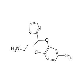 NCCCC(Oc1cc(C(F)(F)F)ccc1Cl)c1nccs1